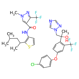 CC(C)CC(C)c1sccc1NC(=O)c1cn(C)nc1C(F)(F)F.CC(O)(Cn1cncn1)c1ccc(Oc2ccc(Cl)cc2)cc1C(F)(F)F